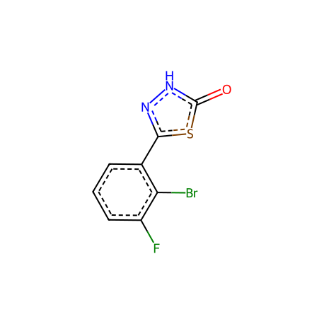 O=c1[nH]nc(-c2cccc(F)c2Br)s1